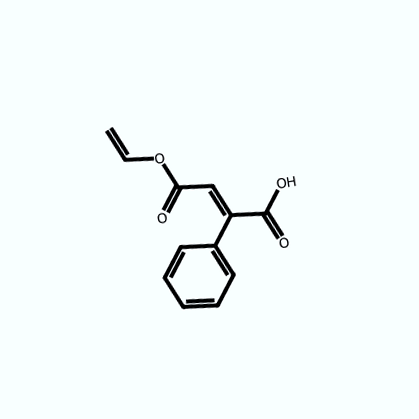 C=COC(=O)/C=C(/C(=O)O)c1ccccc1